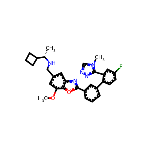 COc1cc(CN[C@@H](C)C2CCC2)cc2nc(-c3cccc(-c4ccc(F)cc4-c4nncn4C)c3)oc12